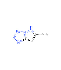 Cc1cc2nnnn2[nH]1